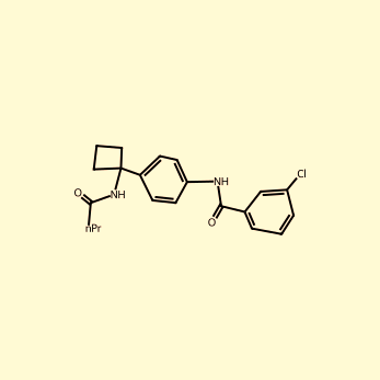 CCCC(=O)NC1(c2ccc(NC(=O)c3cccc(Cl)c3)cc2)CCC1